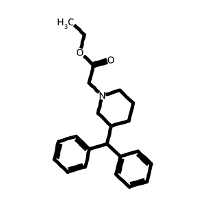 CCOC(=O)CN1CCCC(C(c2ccccc2)c2ccccc2)C1